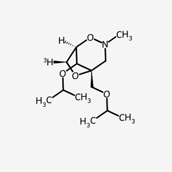 [3H][C@@H]1O[C@@]2(COC(C)C)CN(C)O[C@H]1C2OC(C)C